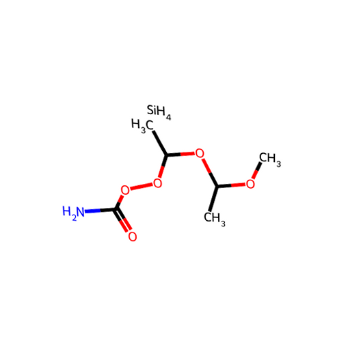 COC(C)OC(C)OOC(N)=O.[SiH4]